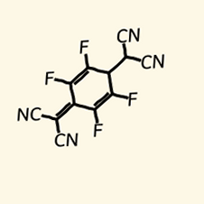 N#CC(C#N)=C1C(F)=C(F)C(C(C#N)C#N)C(F)=C1F